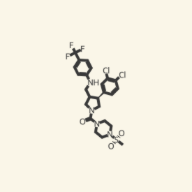 CS(=O)(=O)N1CCN(C(=O)N2CC(CNc3ccc(C(F)(F)F)cc3)[C@@H](c3ccc(Cl)c(Cl)c3)C2)CC1